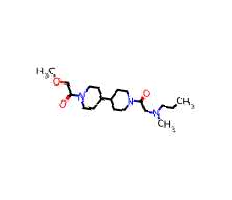 CCCN(C)CC(=O)N1CCC(C2CCN(C(=O)COC)CC2)CC1